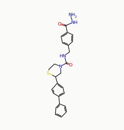 NNC(=O)c1ccc(CNC(=O)N2CCSC(c3ccc(-c4ccccc4)cc3)C2)cc1